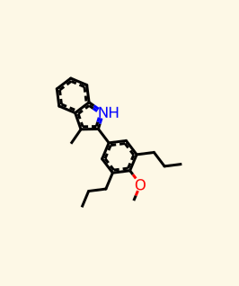 CCCc1cc(-c2[nH]c3ccccc3c2C)cc(CCC)c1OC